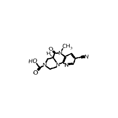 CN1C(=O)[C@@H]2CN(C(=O)O)CCN2c2ncc(C#N)cc21